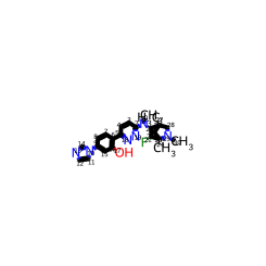 CN(c1ccc(-c2ccc(-n3ccnc3)cc2O)nn1)[C@H]1[C@@H](F)[C@@]2(C)C[C@]1(C)CN2C